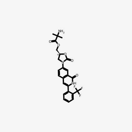 CC(C)(N)C(=O)OC[C@@H]1CN(c2ccc3cc(-c4ccccc4C(F)(F)F)[nH]c(=O)c3c2)C(=O)O1